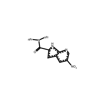 CCCN(CCC)C(=O)c1cc2cc([N+](=O)[O-])cnc2[nH]1